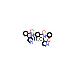 Cc1cc(NC(=O)c2ccccc2-c2ccncc2)ccc1C(=O)N1Cc2cccnc2Oc2ccccc21